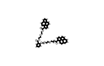 O=C(OCCOCCOC(=O)c1ccc2ccc3cccc4ccc1c2c34)c1ccccc1OCOCCOCCOC(=O)c1ccc2ccc3cccc4ccc1c2c34